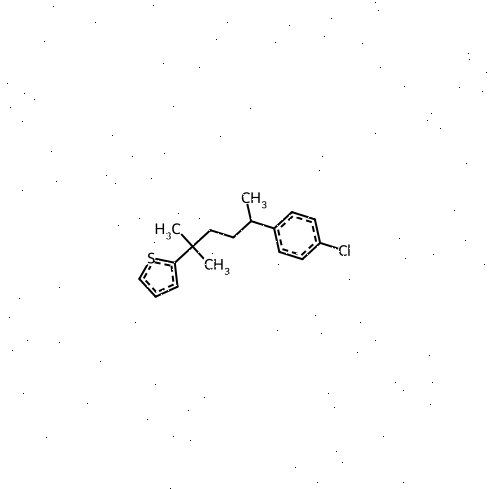 CC(CCC(C)(C)c1cccs1)c1ccc(Cl)cc1